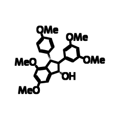 COc1ccc([C@H]2c3c(OC)cc(OC)cc3[C@@H](O)C2c2cc(OC)cc(OC)c2)cc1